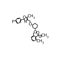 COC(=O)c1c(C)cccc1CO[C@@H]1CCC[C@H](OCc2nc(-c3ccc(F)cc3)oc2C)C1